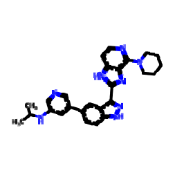 CC(C)Nc1cncc(-c2ccc3[nH]nc(-c4nc5c(N6CCCCC6)nccc5[nH]4)c3c2)c1